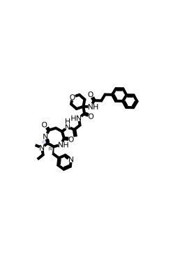 C=C(CNC(=O)C1(NC(=O)CCc2ccc3ccccc3c2)CCOCC1)NC1CC(=O)/N=C(/N(C)CC)[C@H](Cc2cccnc2)NC1=O